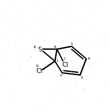 ClC12C=CC=CC1(Cl)S2